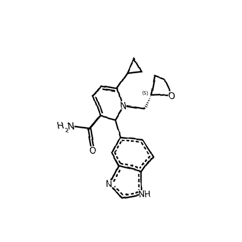 NC(=O)C1=CC=C(C2CC2)N(C[C@@H]2CCO2)C1c1ccc2[nH]cnc2c1